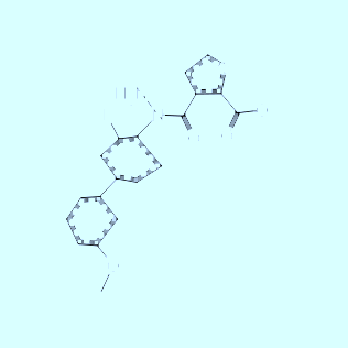 COc1cccc(-c2ccc(N(N)C(=O)c3ccsc3C(=O)O)c(F)c2)c1